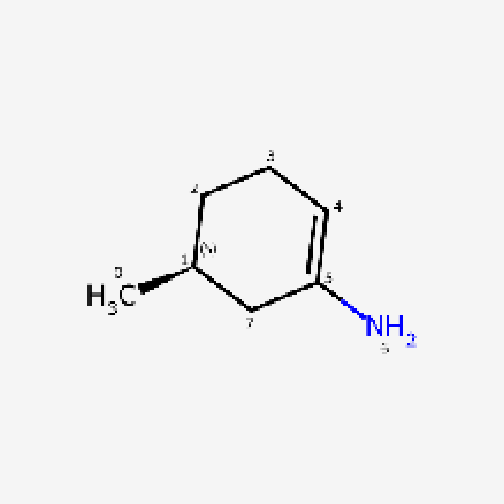 C[C@H]1CCC=C(N)C1